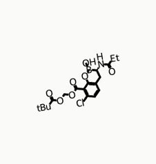 CCC(=O)N[C@H]1Cc2ccc(Cl)c(C(=O)OCOC(=O)C(C)(C)C)c2OB1O